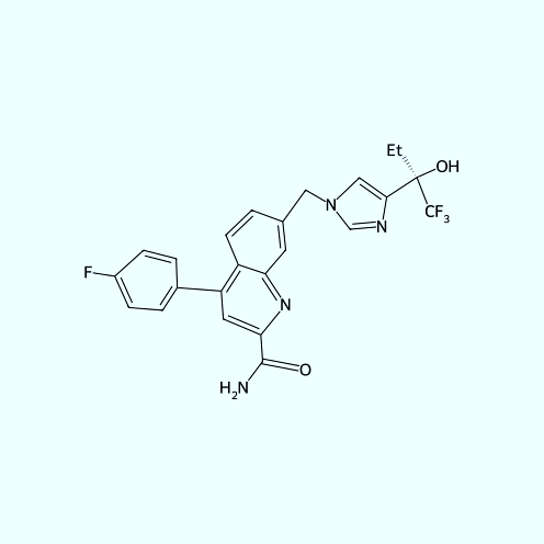 CC[C@@](O)(c1cn(Cc2ccc3c(-c4ccc(F)cc4)cc(C(N)=O)nc3c2)cn1)C(F)(F)F